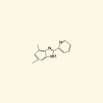 Cc1cc(C)c2nc(-c3ccccn3)[nH]c2c1